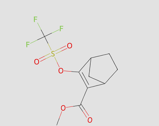 COC(=O)C1=C(OS(=O)(=O)C(F)(F)F)C2CCC1C2